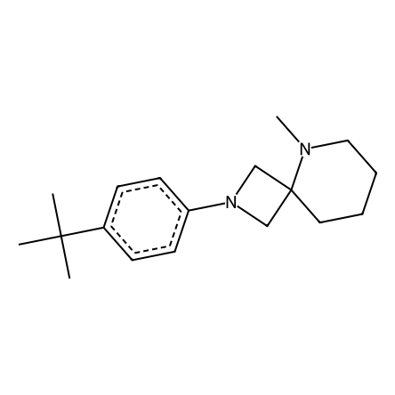 CN1CCCCC12CN(c1ccc(C(C)(C)C)cc1)C2